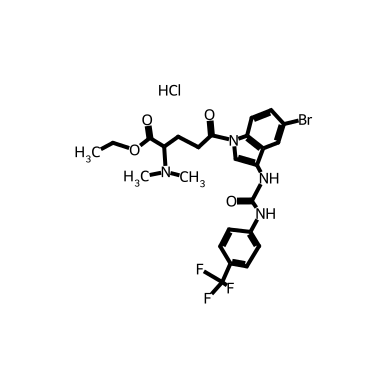 CCOC(=O)C(CCC(=O)n1cc(NC(=O)Nc2ccc(C(F)(F)F)cc2)c2cc(Br)ccc21)N(C)C.Cl